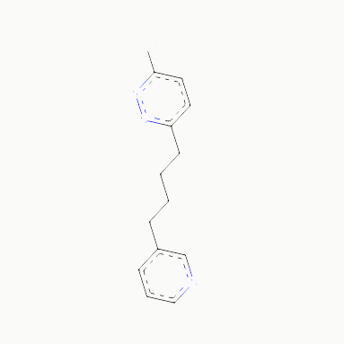 Cl.O=Cc1ccc(CCCCc2cccnc2)nn1